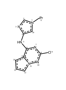 CC(C)n1cnc(Nc2nc(Cl)nn3cccc23)c1